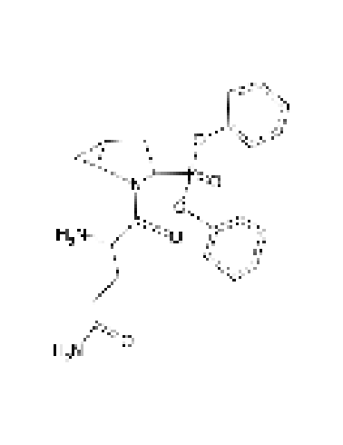 NC(=O)CC[C@H](N)C(=O)N1C2CC2CC1P(=O)(Oc1ccccc1)Oc1ccccc1